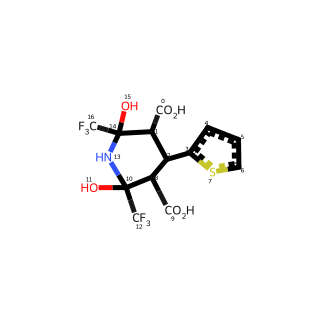 O=C(O)C1C(c2cccs2)C(C(=O)O)C(O)(C(F)(F)F)NC1(O)C(F)(F)F